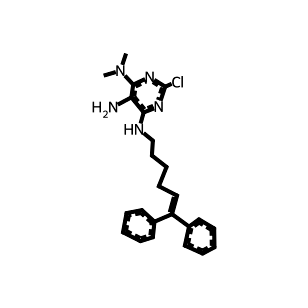 CN(C)c1nc(Cl)nc(NCCCCC=C(c2ccccc2)c2ccccc2)c1N